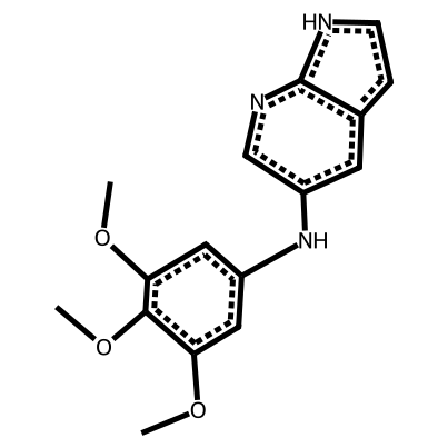 COc1cc(Nc2cnc3[nH]ccc3c2)cc(OC)c1OC